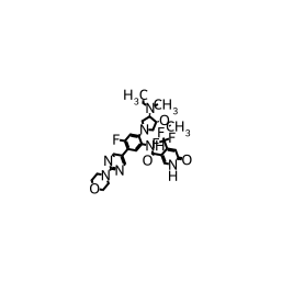 CCN(C)[C@@H]1CN(c2cc(F)c(-c3cnc(N4CCOCC4)nc3)cc2NC(=O)c2c[nH]c(=O)cc2C(F)(F)F)C[C@H]1OC